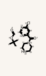 CC(C)(C)OC=O.O=C(c1cc(Cl)ncn1)N1CCNCC1